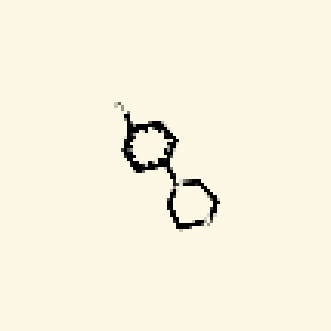 [18F]c1ccc(N2CCOCC2)cc1